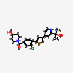 CC(C)(O)c1cc(-c2csc(-c3ccc(C(=O)N4CCC(O)CC4)cc3Cl)c2)ccn1